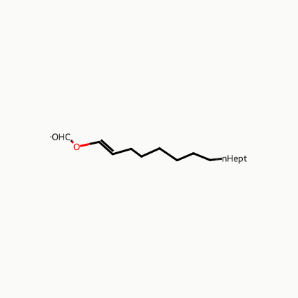 CCCCCCCCCCCCCC=CO[C]=O